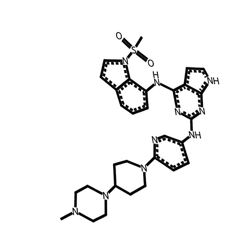 CN1CCN(C2CCN(c3ccc(Nc4nc(Nc5cccc6ccn(S(C)(=O)=O)c56)c5cc[nH]c5n4)cn3)CC2)CC1